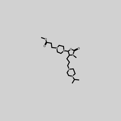 COC(=O)CCN1CCN(C2OC(=O)N(C)C2CCCN2CCN(C(C)C)CC2)CC1